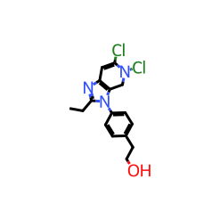 CCc1nc2c(n1-c1ccc(CCO)cc1)CN(Cl)C(Cl)=C2